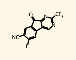 N#Cc1cc2c(cc1F)-c1cnc(C(F)(F)F)nc1C2=O